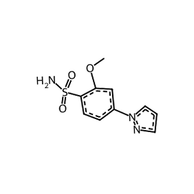 COc1cc(-n2cccn2)ccc1S(N)(=O)=O